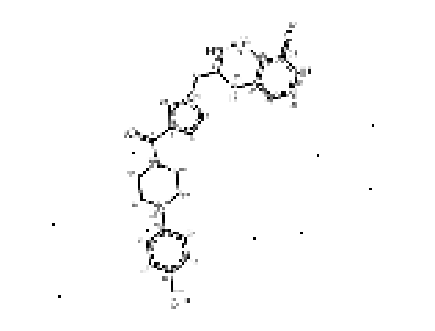 CC(Cn1ccc(C(=O)N2CCN(c3ccc(C(F)(F)F)cc3)CC2)c1)Nc1cn[nH]c(=O)c1C(F)(F)F